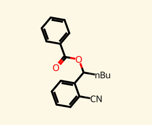 CCCCC(OC(=O)c1ccccc1)c1ccccc1C#N